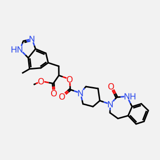 COC(=O)C(Cc1cc(C)c2[nH]cnc2c1)OC(=O)N1CCC(N2CCc3ccccc3NC2=O)CC1